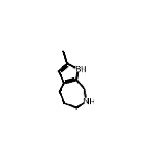 CC1=CC2=C(B1)CNCCC2